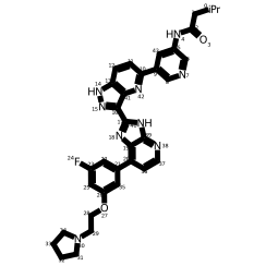 CC(C)CC(=O)Nc1cncc(-c2ccc3[nH]nc(-c4nc5c(-c6cc(F)cc(OCCN7CCCC7)c6)ccnc5[nH]4)c3n2)c1